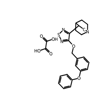 O=C(O)C(=O)O.c1ccc(Oc2cccc(COc3nsnc3C3CN4CCC3CC4)c2)cc1